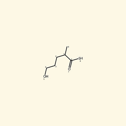 CC(CCCO)C(=O)S